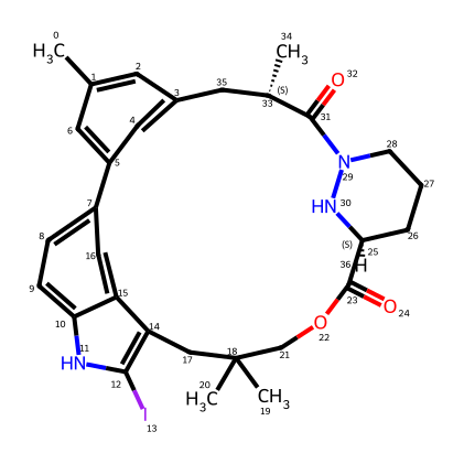 Cc1cc2cc(c1)-c1ccc3[nH]c(I)c(c3c1)CC(C)(C)COC(=O)[C@@H]1CCCN(N1)C(=O)[C@@H](C)C2